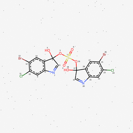 O=S(=O)(OC1(O)C=Nc2cc(Cl)c(Br)cc21)OC1(O)C=Nc2cc(Cl)c(Br)cc21